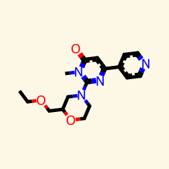 CCOCC1CN(c2nc(-c3ccncc3)cc(=O)n2C)CCO1